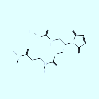 CC(C)N(CCC(=O)N(C)C)C(=O)OC[C@H](CNC(=O)OC(C)(C)C)N1C(=O)C=CC1=O